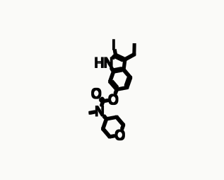 CCc1c(I)[nH]c2cc(OC(=O)N(C)C3CCOCC3)ccc12